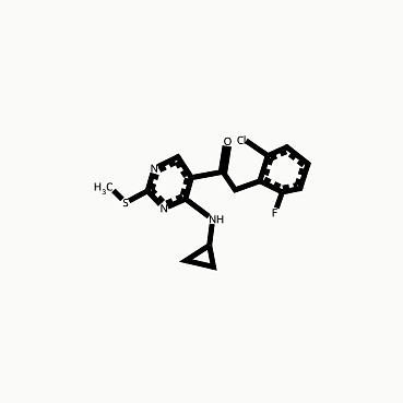 CSc1ncc(C(=O)Cc2c(F)cccc2Cl)c(NC2CC2)n1